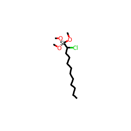 CCCCCCCCCCC(Cl)[Si](OC)(OC)OC